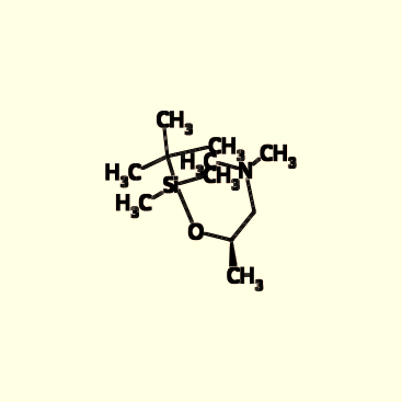 C[C@H](CN(C)C)O[Si](C)(C)C(C)(C)C